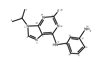 CC(C)n1cnc2c(Nc3cccc(N)c3)nc(F)nc21